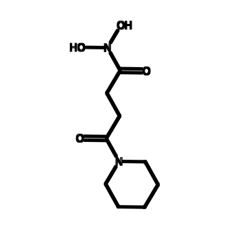 O=C(CCC(=O)N1CCCCC1)N(O)O